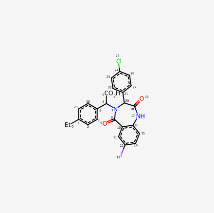 CCc1ccc(C(C(=O)O)N2C(=O)c3cc(I)ccc3NC(=O)C2c2ccc(Cl)cc2)cc1